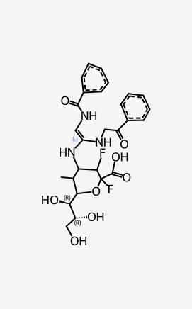 CC1C(N/C(=C/NC(=O)c2ccccc2)NCC(=O)c2ccccc2)C(F)C(F)(C(=O)O)OC1[C@H](O)[C@H](O)CO